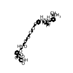 CSN(C)c1cccc(CNc2nc(Nc3ccc(OCCOCCOCCOCCOCCC(=O)NCCOc4cccc5c4C(=O)N(C4CCC(=O)NC4=O)C5=O)cc3)ncc2C(F)(F)F)c1